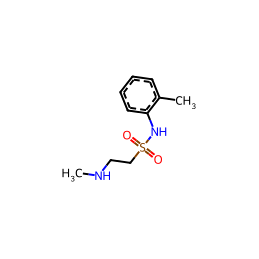 CNCCS(=O)(=O)Nc1ccccc1C